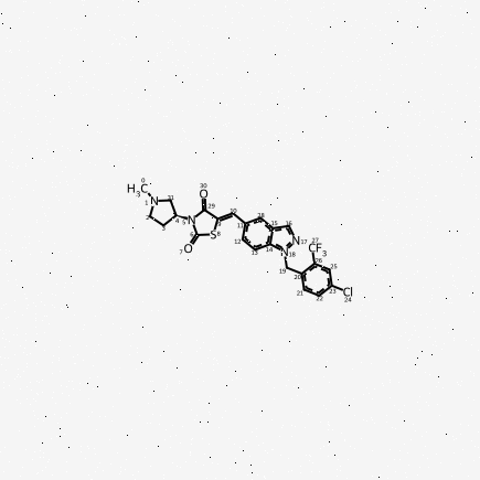 CN1CC[C@H](N2C(=O)S/C(=C\c3ccc4c(cnn4Cc4ccc(Cl)cc4C(F)(F)F)c3)C2=O)C1